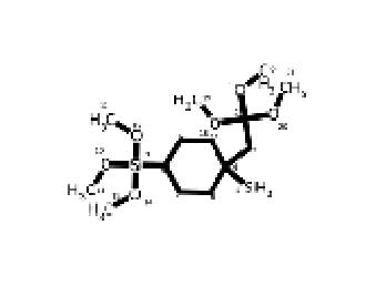 COC(CC1([SiH3])CCC([Si](OC)(OC)OC)CC1)(OC)OC